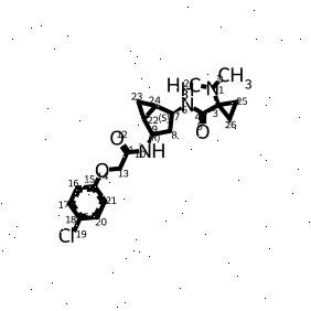 CN(C)C1(C(=O)N[C@H]2C[C@@H](NC(=O)COc3ccc(Cl)cc3)C3CC32)CC1